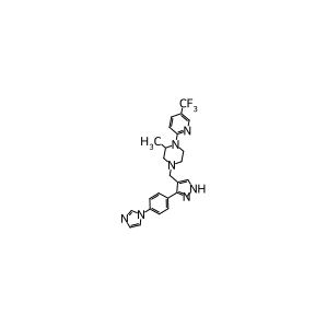 CC1CN(Cc2c[nH]nc2-c2ccc(-n3ccnc3)cc2)CCN1c1ccc(C(F)(F)F)cn1